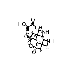 O=C(O)C(=O)O.O=S1(=O)CC2(CNC2)C1.O=S1(=O)CC2(CNC2)C1